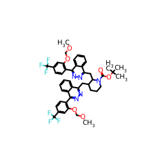 COCOc1cc(C(F)(F)F)ccc1-c1nnc(CC2CCCN(C(=O)OC(C)(C)C)C2Cc2nnc(-c3ccc(C(F)(F)F)cc3OCOC)c3ccccc23)c2ccccc12